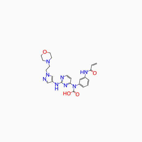 C=CC(=O)Nc1cccc(N(C(=O)O)c2ccnc(Nc3cnn(CCN4CCOCC4)c3)n2)c1